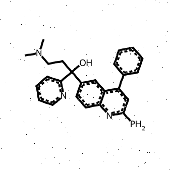 CN(C)CCC(O)(c1ccc2nc(P)cc(-c3ccccc3)c2c1)c1ccccn1